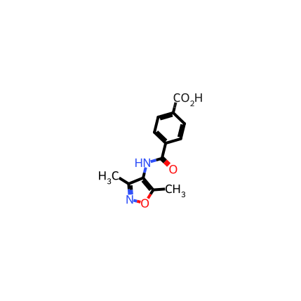 Cc1noc(C)c1NC(=O)c1ccc(C(=O)O)cc1